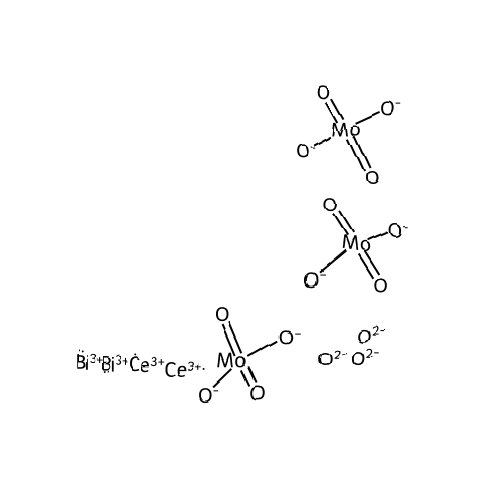 [Bi+3].[Bi+3].[Ce+3].[Ce+3].[O-2].[O-2].[O-2].[O]=[Mo](=[O])([O-])[O-].[O]=[Mo](=[O])([O-])[O-].[O]=[Mo](=[O])([O-])[O-]